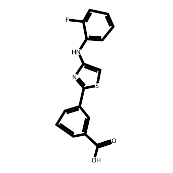 O=C(O)c1cccc(-c2nc(Nc3ccccc3F)cs2)c1